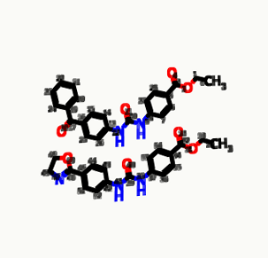 CCOC(=O)c1ccc(NC(=O)Nc2ccc(C(=O)c3ccccc3)cc2)cc1.CCOC(=O)c1ccc(NC(=O)Nc2ccc(C3=NCCO3)cc2)cc1